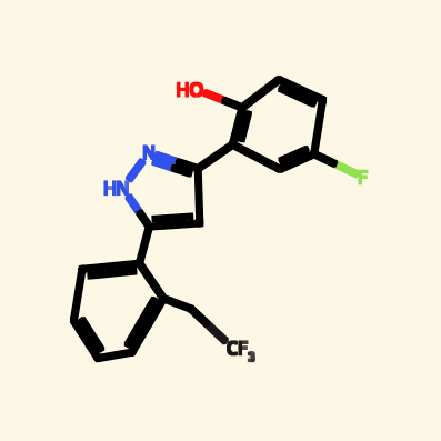 Oc1ccc(F)cc1-c1cc(-c2ccccc2CC(F)(F)F)[nH]n1